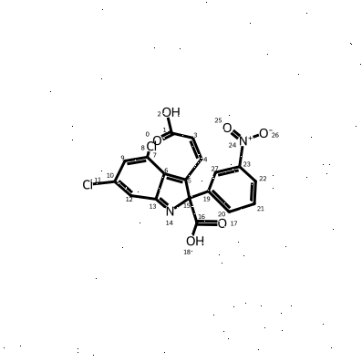 O=C(O)/C=C\C1=c2c(Cl)cc(Cl)cc2=NC1(C(=O)O)c1cccc([N+](=O)[O-])c1